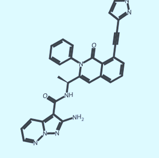 C[C@H](NC(=O)c1c(N)nn2ncccc12)c1cc2cccc(C#Cc3ccn(C)n3)c2c(=O)n1-c1ccccc1